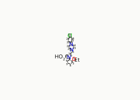 CCOc1ccccc1N(CCCN1CCN(c2ccc(Cl)cc2)CC1)C(=O)O